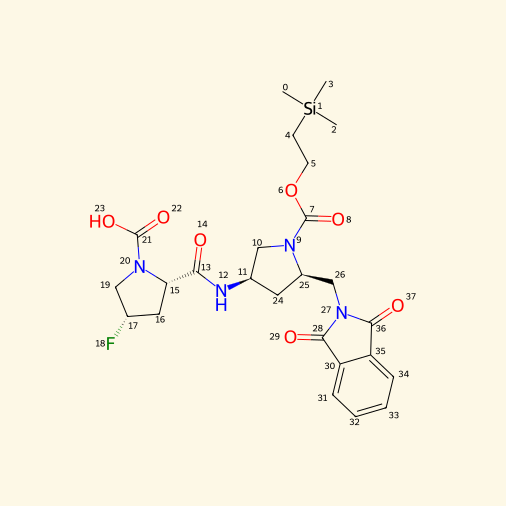 C[Si](C)(C)CCOC(=O)N1C[C@H](NC(=O)[C@@H]2C[C@H](F)CN2C(=O)O)C[C@@H]1CN1C(=O)c2ccccc2C1=O